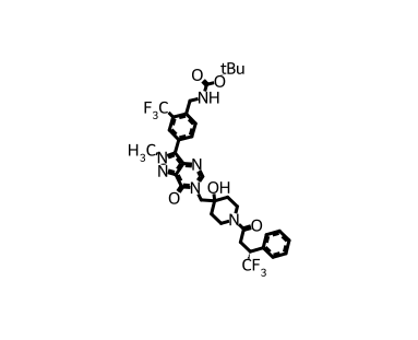 Cn1nc2c(=O)n(CC3(O)CCN(C(=O)C[C@H](c4ccccc4)C(F)(F)F)CC3)cnc2c1-c1ccc(CNC(=O)OC(C)(C)C)c(C(F)(F)F)c1